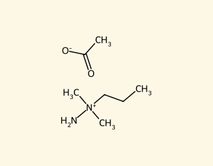 CC(=O)[O-].CCC[N+](C)(C)N